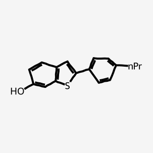 CCCc1ccc(-c2cc3ccc(O)cc3s2)cc1